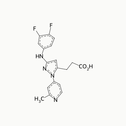 Cc1cc(-n2nc(Nc3ccc(F)c(F)c3)cc2CCC(=O)O)ccn1